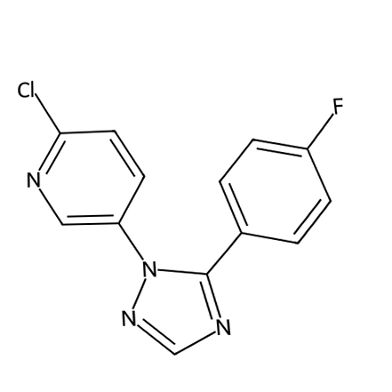 Fc1ccc(-c2ncnn2-c2ccc(Cl)nc2)cc1